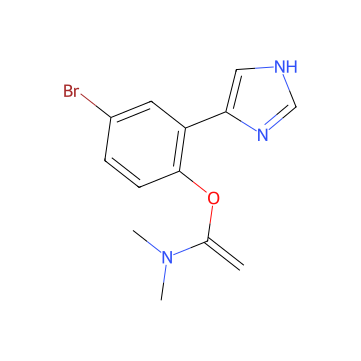 C=C(Oc1ccc(Br)cc1-c1c[nH]cn1)N(C)C